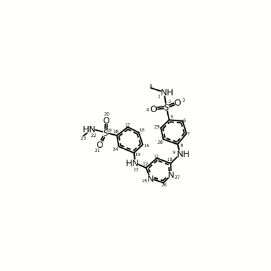 CNS(=O)(=O)c1ccc(Nc2cc(Nc3cccc(S(=O)(=O)NC)c3)ncn2)cc1